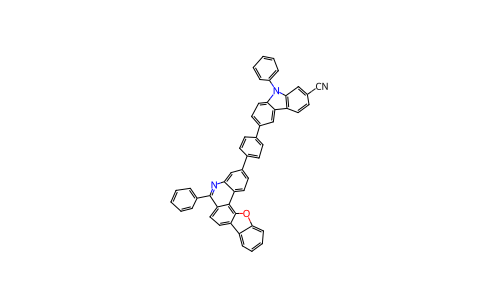 N#Cc1ccc2c3cc(-c4ccc(-c5ccc6c(c5)nc(-c5ccccc5)c5ccc7c8ccccc8oc7c56)cc4)ccc3n(-c3ccccc3)c2c1